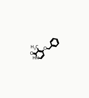 Cc1c(OCc2ccccc2)cc[nH]c1=O